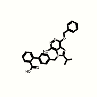 CC(C)c1nc2c(OCc3ccccc3)nnc(O)c2n1Cc1ccc(-c2ccccc2C(=O)O)cc1